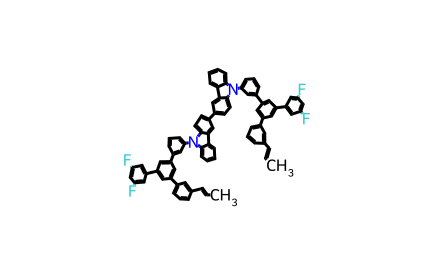 C/C=C/c1cccc(-c2cc(-c3cc(F)cc(F)c3)cc(-c3cccc(-n4c5ccccc5c5cc(-c6ccc7c(c6)c6ccccc6n7-c6cccc(-c7cc(-c8cc(F)cc(F)c8)cc(-c8cccc(/C=C/C)c8)c7)c6)ccc54)c3)c2)c1